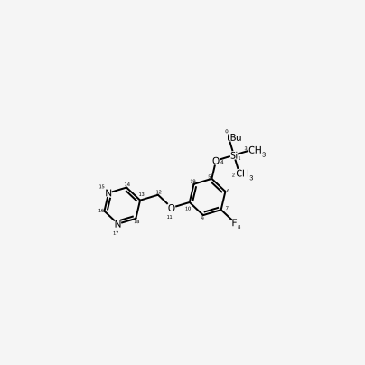 CC(C)(C)[Si](C)(C)Oc1cc(F)cc(OCc2cncnc2)c1